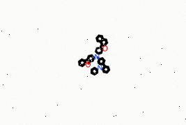 C1=C(N(c2ccc3c(c2)oc2ccccc23)c2ccc3c4ccccc4n(-c4ccccc4)c3c2)CCc2c1oc1ccc3ccccc3c21